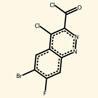 O=C(Cl)c1nnc2cc(F)c(Br)cc2c1Cl